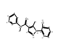 Cc1c(C(=O)N(C)c2cccnc2)cnn1-c1ncccc1Cl